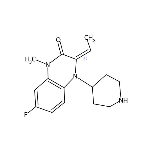 C/C=C1\C(=O)N(C)c2cc(F)ccc2N1C1CCNCC1